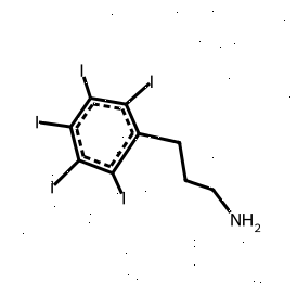 NCCCc1c(I)c(I)c(I)c(I)c1I